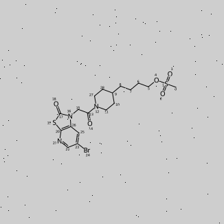 CS(=O)(=O)OCCCCC1CCN(C(=O)Cn2c(=O)sc3ncc(Br)cc32)CC1